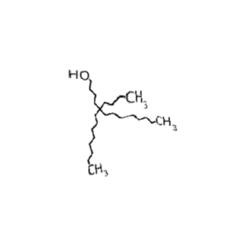 CCCCCCCCC(CCCC)(CCCCO)CCCCCCCC